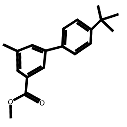 COC(=O)c1cc(C)cc(-c2ccc(C(C)(C)C)cc2)c1